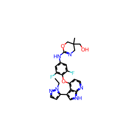 CCn1nccc1-c1c[nH]c2nccc(Oc3c(F)cc(NC4=NCC(C)(CO)CO4)cc3F)c12